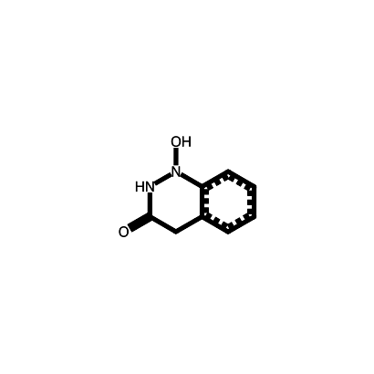 O=C1Cc2ccccc2N(O)N1